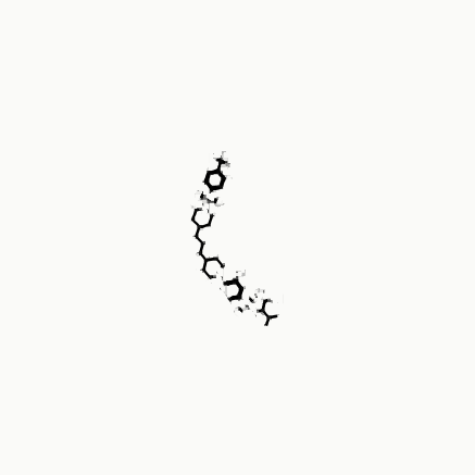 CC(C)C(NS(=O)(=O)c1cnc(N2CCC(CCCC3CCN(S(=O)(=O)c4ccc(C(F)(F)F)cc4)CC3)CC2)c(Br)c1)C(=O)O